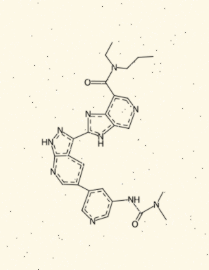 CCCN(CC)C(=O)c1cncc2[nH]c(-c3n[nH]c4ncc(-c5cncc(NC(=O)N(C)C)c5)cc34)nc12